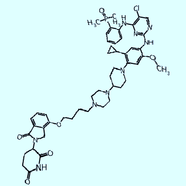 COc1cc(N2CCC(N3CCN(CCCCOc4cccc5c4CN(C4CCC(=O)NC4=O)C5=O)CC3)CC2)c(C2CC2)cc1Nc1ncc(Cl)c(Nc2ccccc2P(C)(C)=O)n1